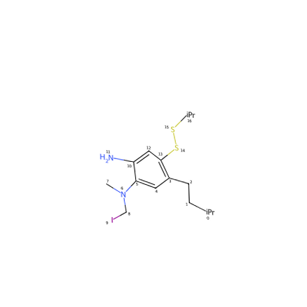 CC(C)CCc1cc(N(C)CI)c(N)cc1SSC(C)C